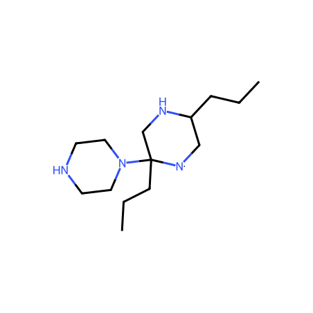 CCCC1C[N]C(CCC)(N2CCNCC2)CN1